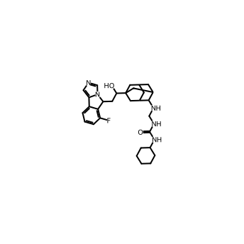 O=C(NCNC1C2CC3CC1CC(C(O)CC1c4c(F)cccc4-c4cncn41)(C3)C2)NC1CCCCC1